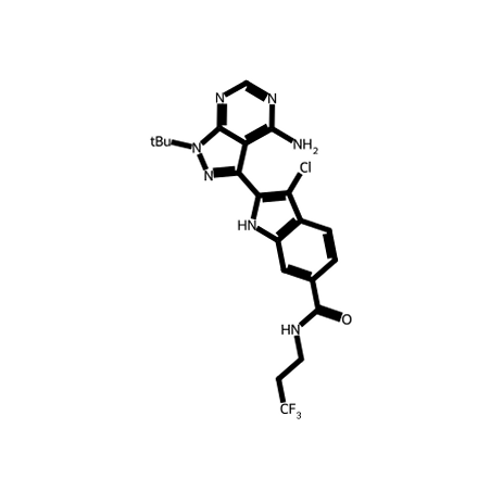 CC(C)(C)n1nc(-c2[nH]c3cc(C(=O)NCCC(F)(F)F)ccc3c2Cl)c2c(N)ncnc21